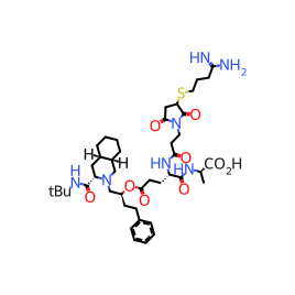 C[C@@H](NC(=O)[C@H](CCC(=O)O[C@@H](CCc1ccccc1)CN1C[C@H]2CCCC[C@H]2C[C@H]1C(=O)NC(C)(C)C)NC(=O)CCN1C(=O)CC(SCCCC(=N)N)C1=O)C(=O)O